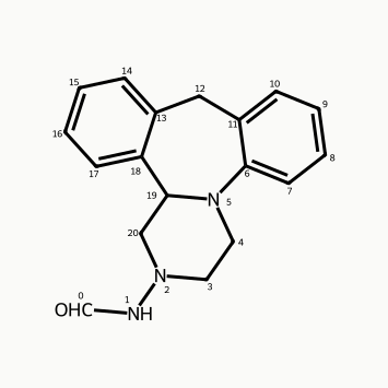 O=CNN1CCN2c3ccccc3Cc3ccccc3C2C1